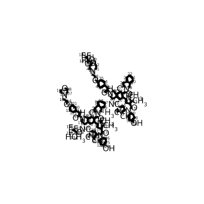 Cc1c(N(C(=O)c2cc(-c3cc4c(cc3C(=O)N3Cc5ccccc5C[C@H]3C)CN(C(=O)Cc3ccc(OCCN5CCOCC5)cc3)CC4)n(C)c2C)c2ccc(O)cc2)cc(C#N)n1C.Cc1c(N(C(=O)c2cc(-c3cc4c(cc3C(=O)N3Cc5ccccc5C[C@H]3C)CN(C(=O)Cc3ccc(OCCN5CCOCC5)cc3)CC4)n(C)c2C)c2ccc(O)cc2)cc(C#N)n1C.O=C(O)C(F)(F)F.O=C(O)C(F)(F)F